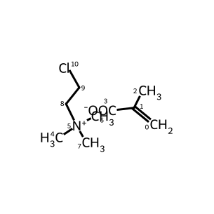 C=C(C)C(=O)[O-].C[N+](C)(C)CCCl